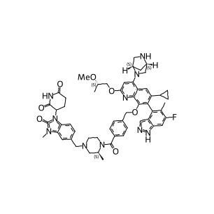 CO[C@@H](C)COc1cc(N2C[C@@H]3C[C@H]2CN3)c2cc(C3CC3)c(-c3c(C)c(F)cc4[nH]ncc34)c(OCc3ccc(C(=O)N4CCN(Cc5ccc6c(c5)n(C)c(=O)n6C5CCC(=O)NC5=O)C[C@@H]4C)cc3)c2n1